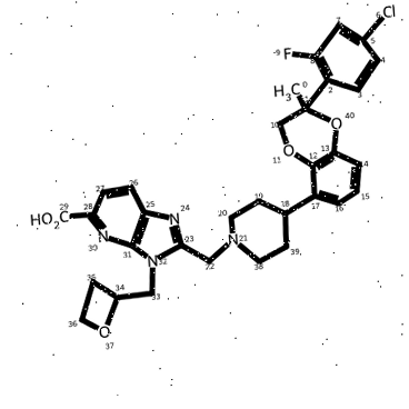 CC1(c2ccc(Cl)cc2F)COc2c(cccc2C2CCN(Cc3nc4ccc(C(=O)O)nc4n3CC3CCO3)CC2)O1